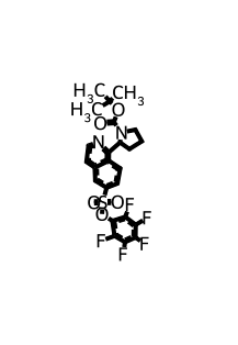 CC(C)(C)OC(=O)N1CCCC1c1nccc2cc(S(=O)(=O)Oc3c(F)c(F)c(F)c(F)c3F)ccc12